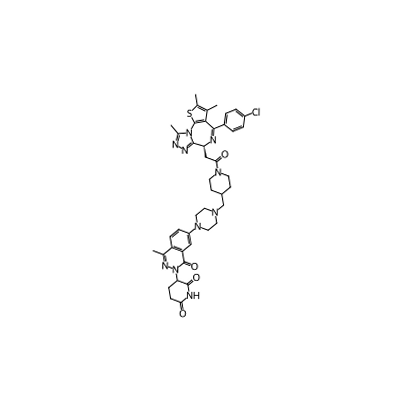 Cc1sc2c(c1C)C(c1ccc(Cl)cc1)=N[C@@H](CC(=O)N1CCC(CN3CCN(c4ccc5c(C)nn(C6CCC(=O)NC6=O)c(=O)c5c4)CC3)CC1)c1nnc(C)n1-2